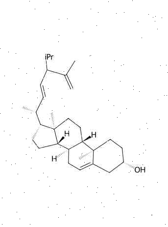 C=C(C)C(/C=C/[C@@H](C)[C@H]1CC[C@H]2[C@@H]3CC=C4C[C@@H](O)CC[C@]4(C)[C@H]3CC[C@]12C)C(C)C